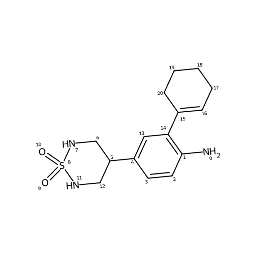 Nc1ccc(C2CNS(=O)(=O)NC2)cc1C1=CCCCC1